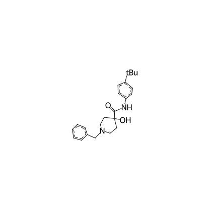 CC(C)(C)c1ccc(NC(=O)C2(O)CCN(Cc3ccccc3)CC2)cc1